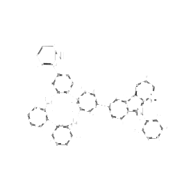 C1=CCNC(c2ccc3c(c2)Oc2ccccc2-c2ccccc2Oc2cc(-c4ccc5c(c4)c4cccnc4n5-c4ccccc4)ccc2-3)=C1